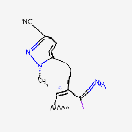 CN/C=C(/Cc1cc(C#N)nn1C)C(=N)I